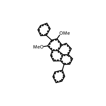 COc1c(-c2ccccc2)c(OC)c2ccc3c(-c4ccccc4)ccc4ccc1c2c43